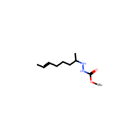 CC=CCCCC(C)NNC(=O)OC(C)(C)C